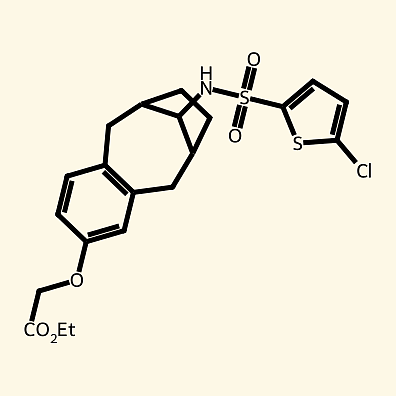 CCOC(=O)COc1ccc2c(c1)CC1CCC(C2)C1NS(=O)(=O)c1ccc(Cl)s1